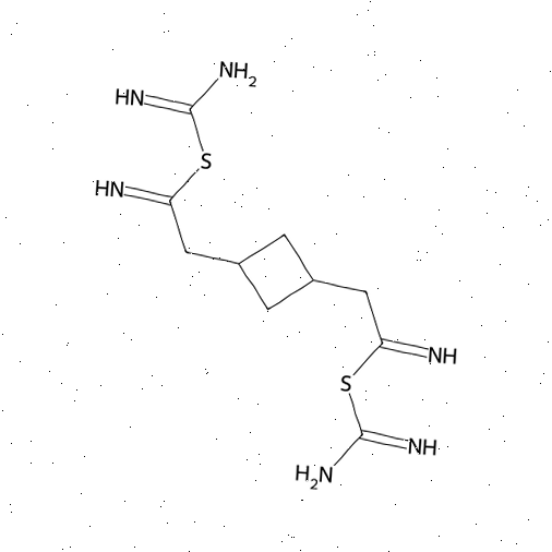 N=C(N)SC(=N)CC1CC(CC(=N)SC(=N)N)C1